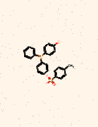 Cc1ccc(S(=O)(=O)[O-])cc1.Oc1ccc([S+](c2ccccc2)c2ccccc2)cc1